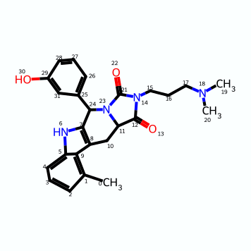 Cc1cccc2[nH]c3c(c12)CC1C(=O)N(CCCN(C)C)C(=O)N1C3c1cccc(O)c1